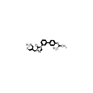 CC(C)Sc1ccc(-c2cccc(-n3cnn(C/C(=C/F)CN)c3=O)c2)cc1